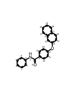 O=C(Nc1ccccc1)c1ccc(Oc2ccc3ccccc3c2)cc1